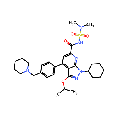 CC(C)Oc1nn(C2CCCCC2)c2nc(C(=O)NS(=O)(=O)N(C)C)cc(-c3ccc(CN4CCCCC4)cc3)c12